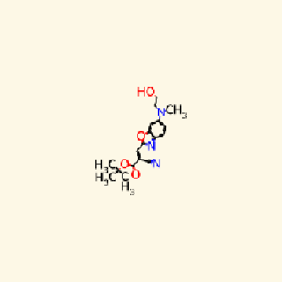 CN(CCO)c1ccc2nc(/C=C(\C#N)C(=O)OC(C)(C)C)oc2c1